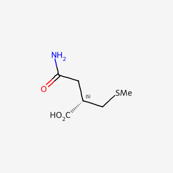 CSC[C@@H](CC(N)=O)C(=O)O